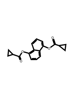 O=C(Oc1cccc2c(OC(=O)C3CC3)cccc12)C1CC1